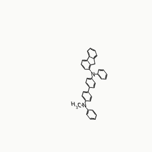 CN(c1ccccc1)c1ccc(-c2ccc(N(c3ccccc3)c3cccc4c3Cc3ccccc3-4)cc2)cc1